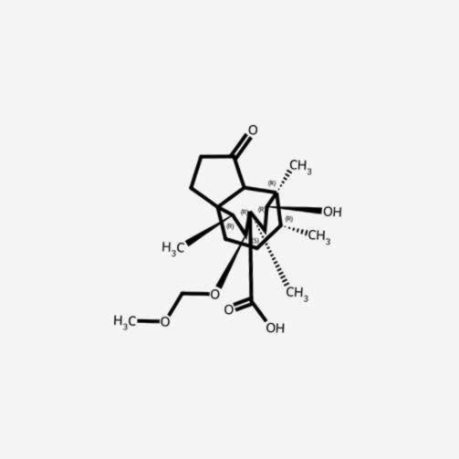 COCO[C@H]1[C@H](C)C23CCC(=O)C2[C@@](C)([C@H](C)CC3)[C@H](O)C[C@@]1(C)C(=O)O